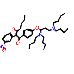 CCCCc1oc2ccc([N+](=O)[O-])cc2c1C(=O)c1ccc(OC(CCN(CCCC)CCCC)N(CCCC)CCCC)cc1